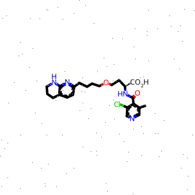 Cc1cncc(Cl)c1C(=O)N[C@@H](CCOCCCCc1ccc2c(n1)NCCC2)C(=O)O